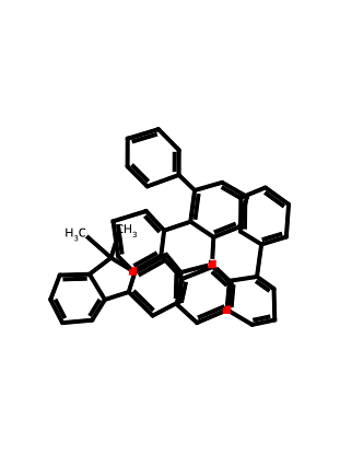 CC1(C)c2ccccc2-c2ccc(N(c3ccccc3-c3ccccc3)c3cccc(-c4ccccc4)c3-c3ccccc3-c3ccccc3)cc21